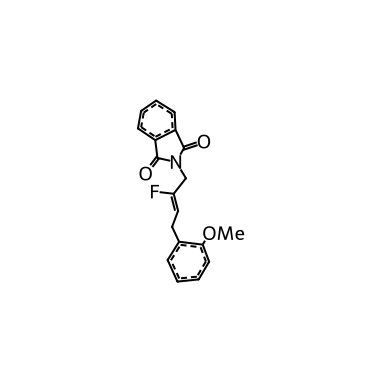 COc1ccccc1C/C=C(\F)CN1C(=O)c2ccccc2C1=O